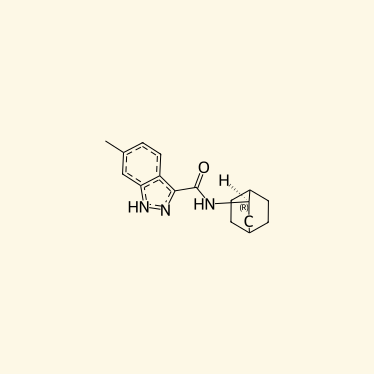 Cc1ccc2c(C(=O)N[C@@H]3CC4CCC3CC4)n[nH]c2c1